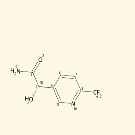 NC(=O)[C@@H](O)c1ccc(C(F)(F)F)nc1